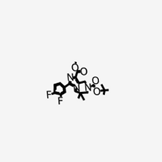 COC(=O)c1nc(-c2ccc(F)c(F)c2)n2c1CN(C(=O)OC(C)(C)C)CC(C)(C)C2